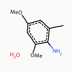 COc1cc(C)c(N)c(OC)c1.O